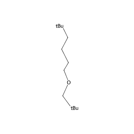 CC(C)(C)CCCCOCC(C)(C)C